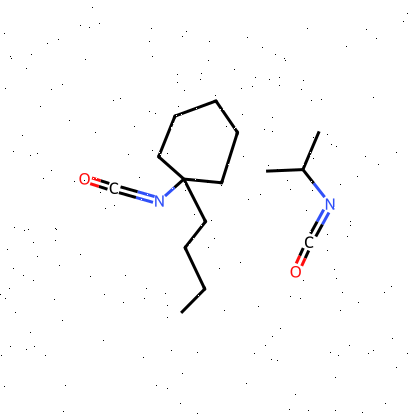 CC(C)N=C=O.CCCCC1(N=C=O)CCCCC1